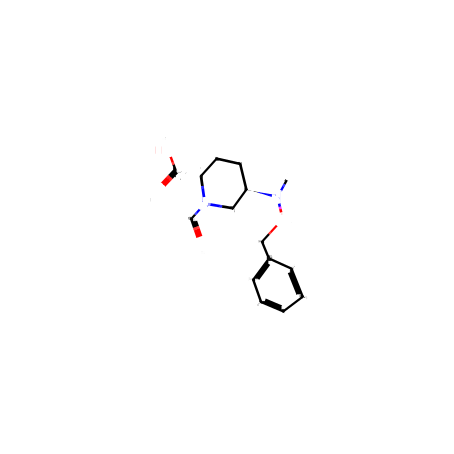 CN(OCc1ccccc1)[C@@H]1CC[C@@H](C(=O)O)N(C=O)C1